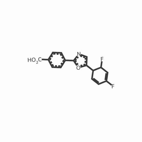 O=C(O)c1ccc(-c2ncc(C3C=CC(F)=CC3F)o2)cc1